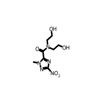 Cn1nc([N+](=O)[O-])nc1C(=O)N(CCO)CCO